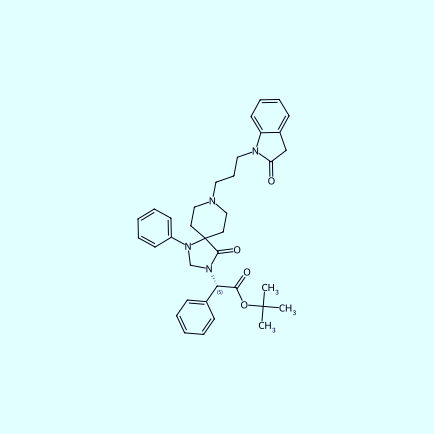 CC(C)(C)OC(=O)[C@H](c1ccccc1)N1CN(c2ccccc2)C2(CCN(CCCN3C(=O)Cc4ccccc43)CC2)C1=O